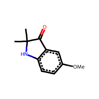 COc1ccc2c(c1)C(=O)C(C)(C)N2